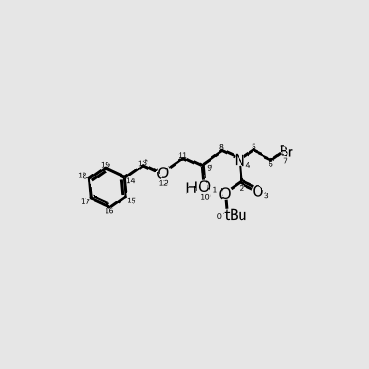 CC(C)(C)OC(=O)N(CCBr)CC(O)COCc1ccccc1